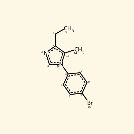 CCc1ncn(-c2ccc(Br)cc2)c1C